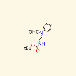 CC(C)(C)OC(=O)NCCN(C=O)c1cc[c]cc1